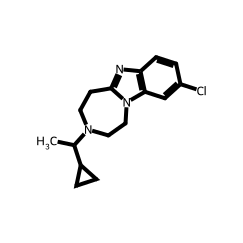 CC(C1CC1)N1CCc2nc3ccc(Cl)cc3n2CC1